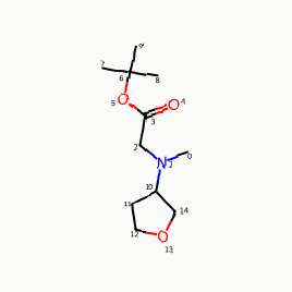 CN(CC(=O)OC(C)(C)C)C1CCOC1